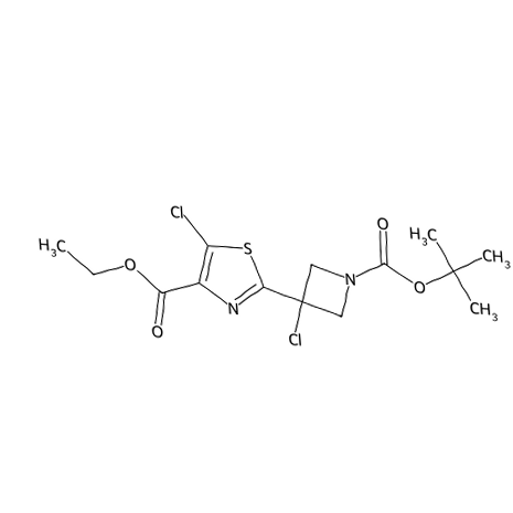 CCOC(=O)c1nc(C2(Cl)CN(C(=O)OC(C)(C)C)C2)sc1Cl